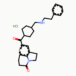 Cl.O=C(c1cc2c3c(c1)CCN3C(=O)CC2)C1CCC(CNCCc2ccccc2)CC1